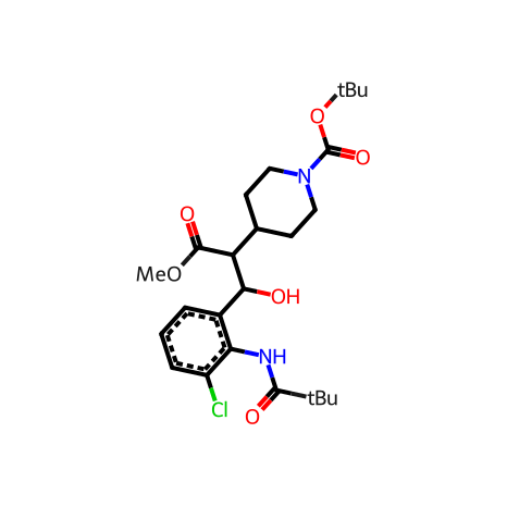 COC(=O)C(C1CCN(C(=O)OC(C)(C)C)CC1)C(O)c1cccc(Cl)c1NC(=O)C(C)(C)C